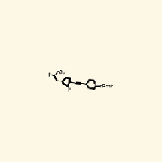 CCCCCc1ccc(C#Cc2ccc(/C=C(/F)CCCC)cc2F)cc1